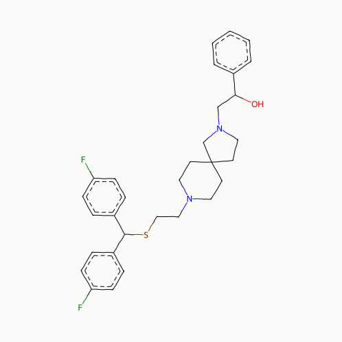 OC(CN1CCC2(CCN(CCSC(c3ccc(F)cc3)c3ccc(F)cc3)CC2)C1)c1ccccc1